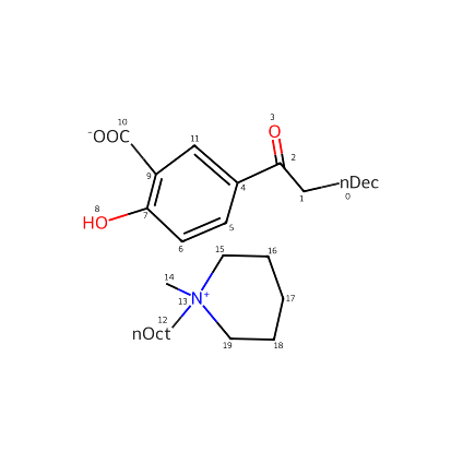 CCCCCCCCCCCC(=O)c1ccc(O)c(C(=O)[O-])c1.CCCCCCCC[N+]1(C)CCCCC1